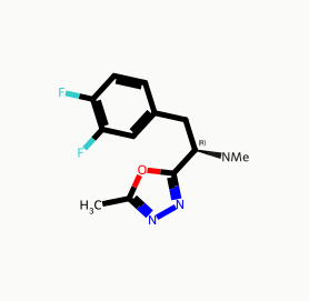 CN[C@H](Cc1ccc(F)c(F)c1)c1nnc(C)o1